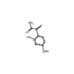 C=C(C(N)=O)c1ccc(OC)cc1Cl